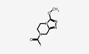 COc1nnc2n1CCN(C(=O)I)C2